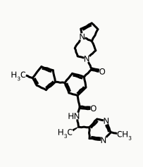 Cc1ccc(-c2cc(C(=O)N[C@H](C)c3cnc(C)nc3)cc(C(=O)N3CCN4C=CCC4C3)c2)cc1